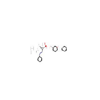 CC1(C)C(/C=C(/c2ccccc2)C(F)(F)F)C1C(=O)OCc1cccc(Oc2ccccc2)c1